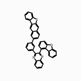 c1cc(-c2ccc3cc4sc5ccccc5c4cc3c2)cc(-c2nc3ccccc3nc2-c2cccc3oc4ccccc4c23)c1